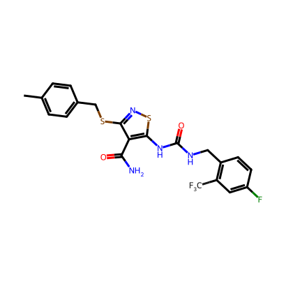 Cc1ccc(CSc2nsc(NC(=O)NCc3ccc(F)cc3C(F)(F)F)c2C(N)=O)cc1